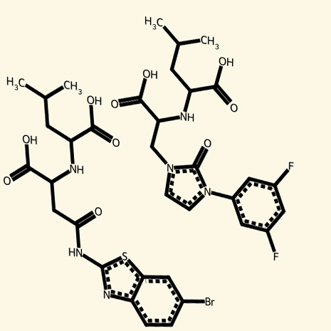 CC(C)CC(NC(CC(=O)Nc1nc2ccc(Br)cc2s1)C(=O)O)C(=O)O.CC(C)CC(NC(Cn1ccn(-c2cc(F)cc(F)c2)c1=O)C(=O)O)C(=O)O